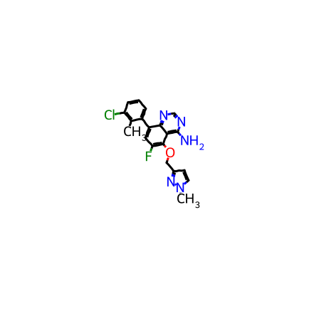 Cc1c(Cl)cccc1-c1cc(F)c(OCc2ccn(C)n2)c2c(N)ncnc12